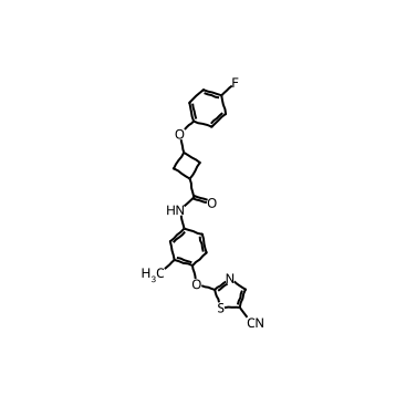 Cc1cc(NC(=O)C2CC(Oc3ccc(F)cc3)C2)ccc1Oc1ncc(C#N)s1